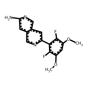 COc1cc(OC)c(F)c(-c2cc3cnc(N)cc3cn2)c1F